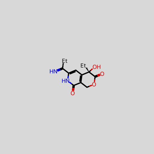 CCC(=N)c1cc2c(c(=O)[nH]1)COC(=O)[C@]2(O)CC